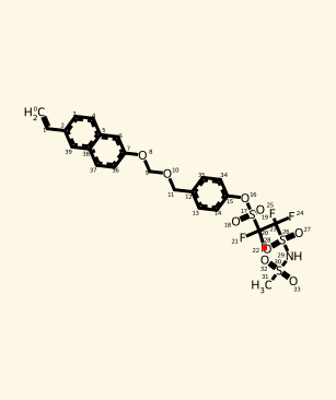 C=Cc1ccc2cc(OCOCc3ccc(OS(=O)(=O)C(F)(F)C(F)(F)S(=O)(=O)NS(C)(=O)=O)cc3)ccc2c1